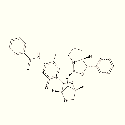 Cc1cn([C@@H]2O[C@]3(C)CO[C@H]2C3O[P@]2O[C@@H](c3ccccc3)[C@H]3CCCN32)c(=O)nc1NC(=O)c1ccccc1